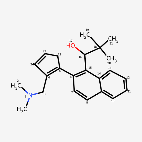 CN(C)CC1=C(c2ccc3ccccc3c2C(O)C(C)(C)C)CC=C1